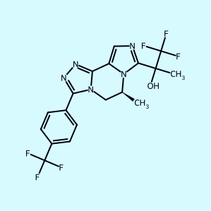 C[C@H]1Cn2c(-c3ccc(C(F)(F)F)cc3)nnc2-c2cnc(C(C)(O)C(F)(F)F)n21